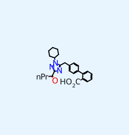 CCCC(=O)c1nc(Cc2ccc(-c3ccccc3C(=O)O)cc2)n(C2CCCCC2)n1